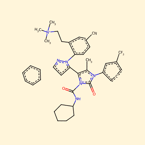 Cc1c(-c2ccnn2-c2ccc(C#N)cc2CC[N+](C)(C)C)n(C(=O)NC2CCCCC2)c(=O)n1-c1cccc(C(F)(F)F)c1.c1ccccc1